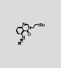 CC(C)(C)CCn1cnc2cccc(N=[N+]=[N-])c2c1=O